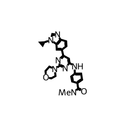 CNC(=O)c1ccc(Nc2cc(-c3ccc4ncn(C5CC5)c4c3)nc(N3CCOCC3)n2)cc1